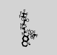 CN1CCCc2cc(N=Nc3nnc(C(=O)OC(F)(F)C(F)(F)F)s3)c(NS(=O)(=O)C(F)(F)F)cc21